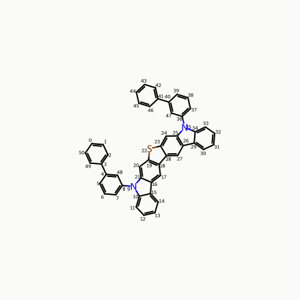 c1ccc(-c2cccc(-n3c4ccccc4c4cc5c(cc43)sc3cc4c(cc35)c3ccccc3n4-c3cccc(-c4ccccc4)c3)c2)cc1